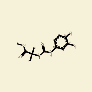 COC(=O)C(C)(C)NC(=O)Nc1ccc(Cl)c(Cl)c1